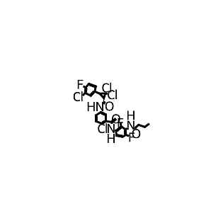 CCCC(=O)Nc1c(F)ccc(NC(=O)c2cc(NC(=O)[C@H]3C(c4ccc(F)c(Cl)c4)C3(Cl)Cl)ccc2Cl)c1F